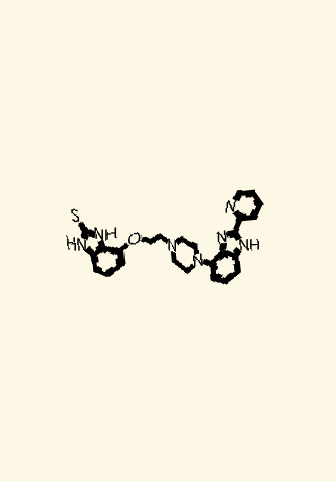 S=c1[nH]c2cccc(OCCN3CCN(c4cccc5[nH]c(-c6ccccn6)nc45)CC3)c2[nH]1